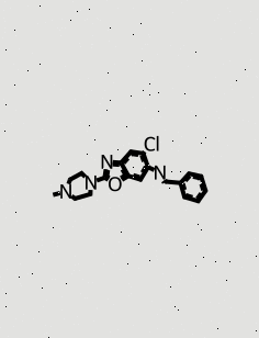 CN1CCN(c2nc3cc(Cl)c(N=Cc4ccccc4)cc3o2)CC1